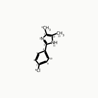 Cc1nc(-c2ccc(Cl)cc2)[nH]c1C